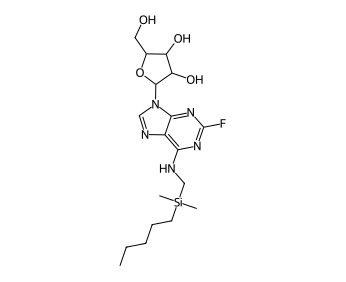 CCCCC[Si](C)(C)CNc1nc(F)nc2c1ncn2C1OC(CO)C(O)C1O